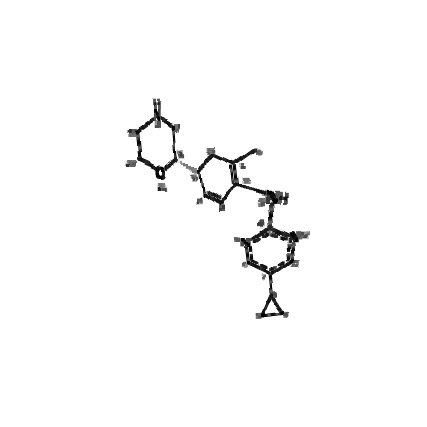 CC1=C(Nc2ncc(C3CC3)cn2)C=CC([C@H]2CNCCO2)C1